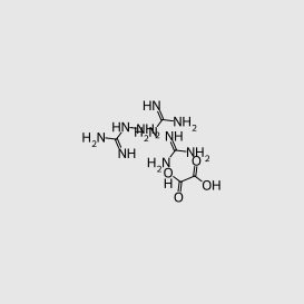 N=C(N)N.N=C(N)N.N=C(N)NN.O=C(O)C(=O)O